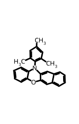 Cc1cc(C)c(N2c3ccccc3Oc3cc4ccccc4cc32)c(C)c1